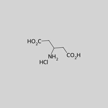 Cl.NC(CC(=O)O)CC(=O)O